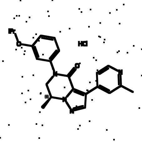 Cc1cc(-c2cnn3c2C(=O)N(c2cccc(OC(C)C)c2)C[C@@H]3C)ccn1.Cl